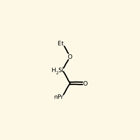 CCCC(=O)[SiH2]OCC